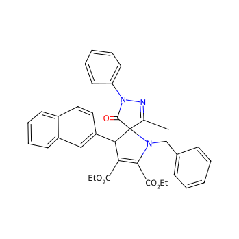 CCOC(=O)C1=C(C(=O)OCC)N(Cc2ccccc2)C2(C(=O)N(c3ccccc3)N=C2C)C1c1ccc2ccccc2c1